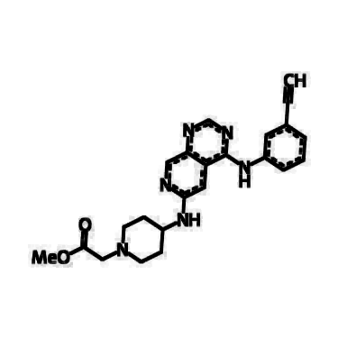 C#Cc1cccc(Nc2ncnc3cnc(NC4CCN(CC(=O)OC)CC4)cc23)c1